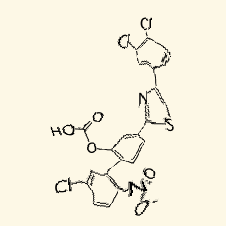 O=C(O)Oc1cc(-c2nc(-c3ccc(Cl)c(Cl)c3)cs2)ccc1-c1cc(Cl)ccc1[N+](=O)[O-]